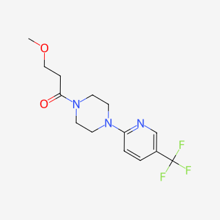 COCCC(=O)N1CCN(c2ccc(C(F)(F)F)cn2)CC1